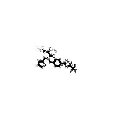 COC(C)C(=O)N(Cc1ccc(-c2noc(C(F)(F)F)n2)cc1)Cc1ccco1